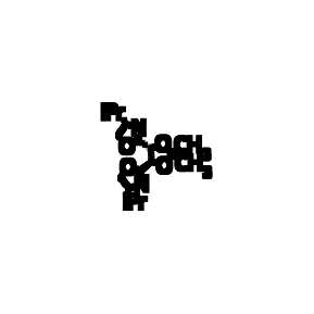 CC(C)[C@H]1COC([C@@H]2OC(C)(C)O[C@H]2C2=N[C@@H](C(C)C)CO2)=N1